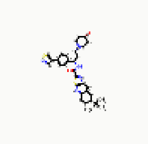 CC(C)(C)[C@H]1CCc2nc3sc(C(=O)NC(CCN4CCC(O)CC4)c4ccc(-c5cnsc5)cc4)nc3cc2C1